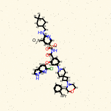 CC(C)c1ccccc1[C@@H]1COCCN1C1CC2(CCN(c3ccc(C(=O)NS(=O)(=O)c4cnc(NCC5CCC(C)(C)CC5)c([N+](=O)[O-])c4)c(Oc4cc5cc[nH]c5nc4Cl)c3)CC2)C1